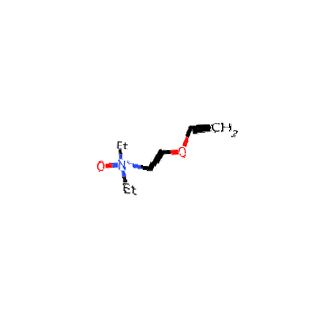 C=COCC[N+]([O-])(CC)CC